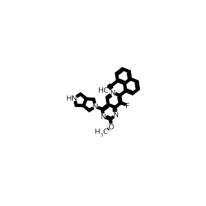 C#Cc1cccc2cccc(-c3ncc4c(N5CC6CNCC6C5)nc(OC)nc4c3F)c12